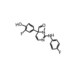 CN1C(Nc2ccc(F)cc2)=NC=CC1(C=O)c1ccc(O)c(F)c1